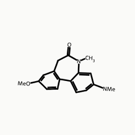 CNc1ccc2c(c1)N(C)C(=O)Cc1cc(OC)ccc1-2